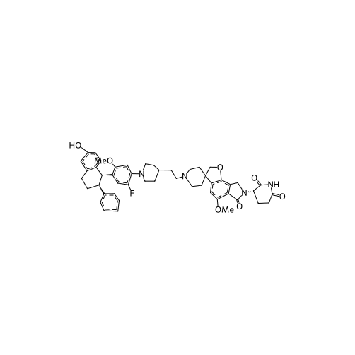 COc1cc(N2CCC(CCN3CCC4(CC3)COc3c4cc(OC)c4c3CN([C@H]3CCC(=O)NC3=O)C4=O)CC2)c(F)cc1[C@@H]1c2ccc(O)cc2CC[C@@H]1c1ccccc1